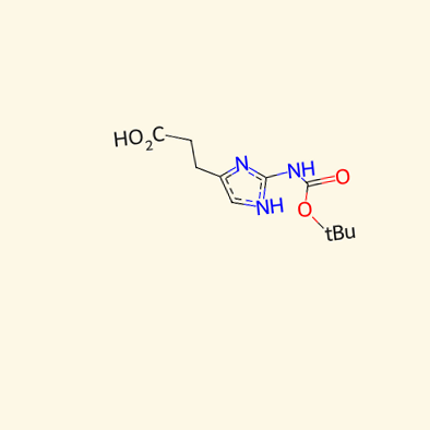 CC(C)(C)OC(=O)Nc1nc(CCC(=O)O)c[nH]1